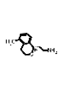 Cc1cccc2c1CCO[C@H]2CCN